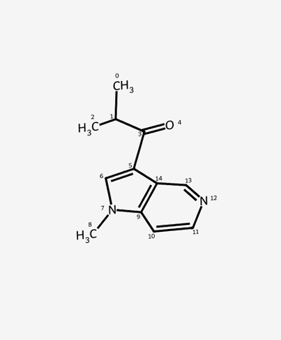 CC(C)C(=O)c1cn(C)c2ccncc12